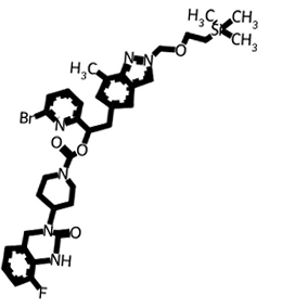 Cc1cc(CC(OC(=O)N2CCC(N3Cc4cccc(F)c4NC3=O)CC2)c2cccc(Br)n2)cc2cn(COCC[Si](C)(C)C)nc12